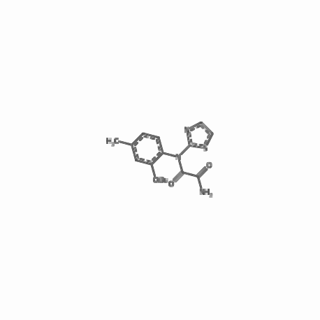 Cc1ccc(N(C(=O)C(N)=O)c2nccs2)c(OCC(C)C)c1